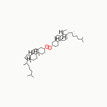 CC(C)CCC[C@@H](C)[C@H]1CC[C@H]2[C@@H]3CC=C4C[C@@H](OO[C@H]5CC[C@@]6(C)C(=CC[C@H]7[C@@H]8CC[C@H]([C@H](C)CCCC(C)C)[C@@]8(C)CC[C@@H]76)C5)CC[C@]4(C)[C@H]3CC[C@]12C